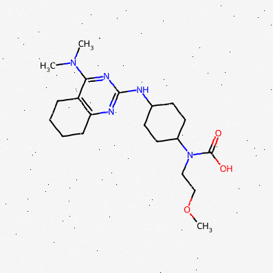 COCCN(C(=O)O)C1CCC(Nc2nc3c(c(N(C)C)n2)CCCC3)CC1